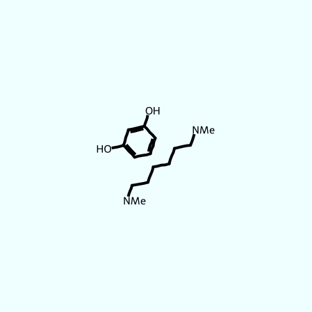 CNCCCCCCNC.Oc1cccc(O)c1